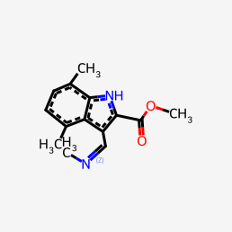 C/N=C\c1c(C(=O)OC)[nH]c2c(C)ccc(C)c12